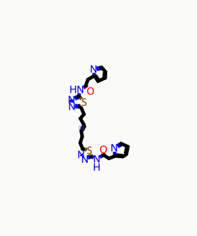 O=C(Cc1ccccn1)Nc1nnc(CC/C=C/CCc2nnc(NC(=O)Cc3ccccn3)s2)s1